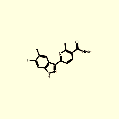 CNC(=O)c1ccc(-c2n[nH]c3cc(F)c(C)cc23)nc1C